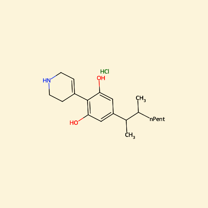 CCCCCC(C)C(C)c1cc(O)c(C2=CCNCC2)c(O)c1.Cl